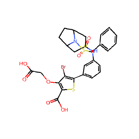 O=C(O)COc1c(C(=O)O)sc(-c2cccc(NC3CC4CCC(C3)N4S(=O)(=O)Cc3ccccc3)c2)c1Br